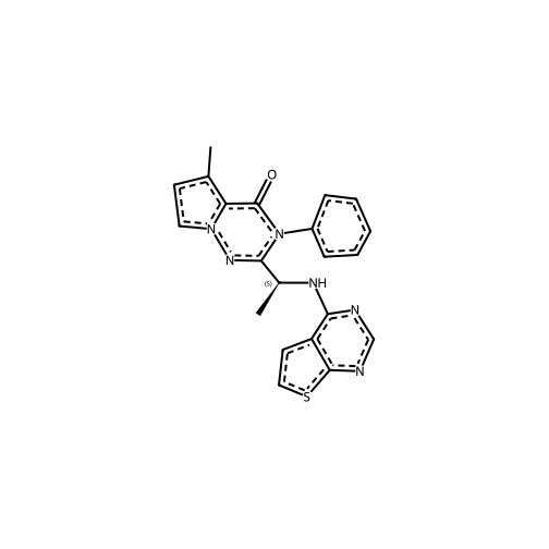 Cc1ccn2nc([C@H](C)Nc3ncnc4sccc34)n(-c3ccccc3)c(=O)c12